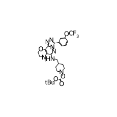 CN1CCOc2c1c(NCC1CCN(OC(=O)OC(C)(C)C)CC1)nn1c(-c3cccc(OC(F)(F)F)c3)nnc21